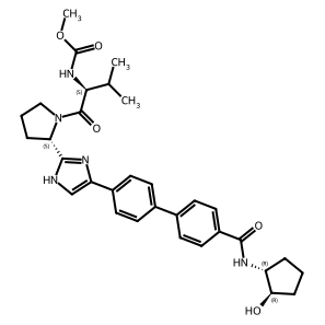 COC(=O)N[C@H](C(=O)N1CCC[C@H]1c1nc(-c2ccc(-c3ccc(C(=O)N[C@@H]4CCC[C@H]4O)cc3)cc2)c[nH]1)C(C)C